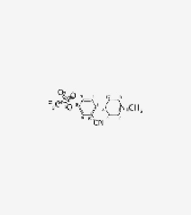 CN1CCC(c2ccc(OS(=O)(=O)C(F)(F)F)cc2C#N)CC1